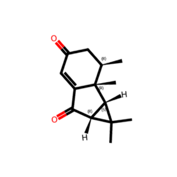 C[C@@H]1CC(=O)C=C2C(=O)[C@@H]3[C@@H](C3(C)C)[C@]21C